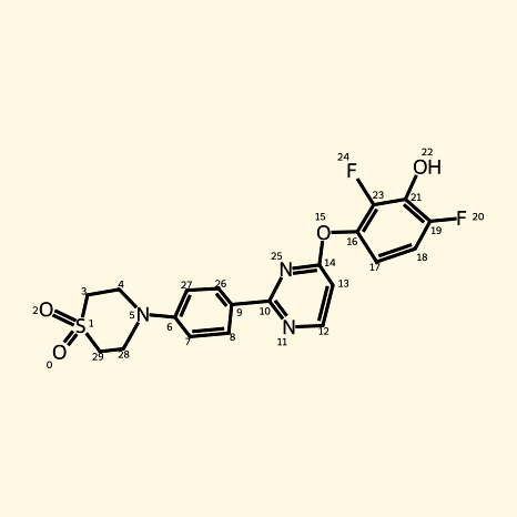 O=S1(=O)CCN(c2ccc(-c3nccc(Oc4ccc(F)c(O)c4F)n3)cc2)CC1